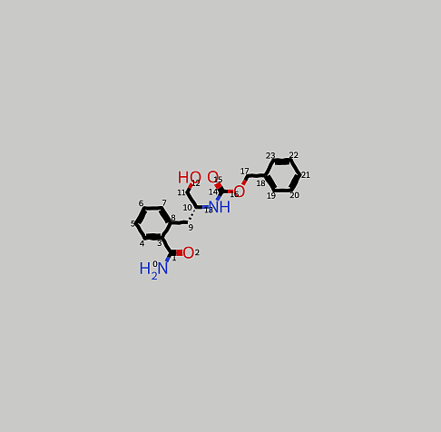 NC(=O)c1ccccc1C[C@H](CO)NC(=O)OCc1ccccc1